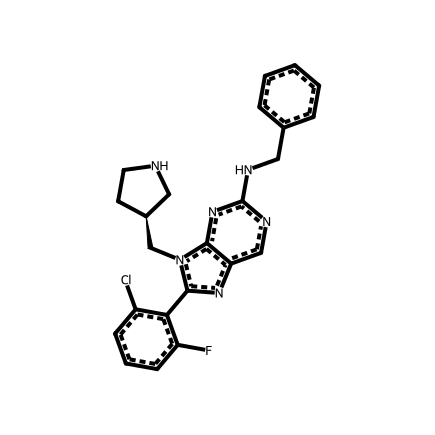 Fc1cccc(Cl)c1-c1nc2cnc(NCc3ccccc3)nc2n1C[C@H]1CCNC1